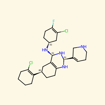 FC1=C(Cl)C[C@@H](N[C@H]2N[C@@H](C3=CCCNC3)NC3=C2C[C@H](C2=C(Cl)CCCC2)CC3)CC1